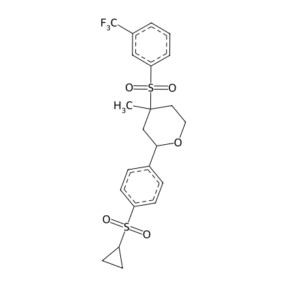 CC1(S(=O)(=O)c2cccc(C(F)(F)F)c2)CCOC(c2ccc(S(=O)(=O)C3CC3)cc2)C1